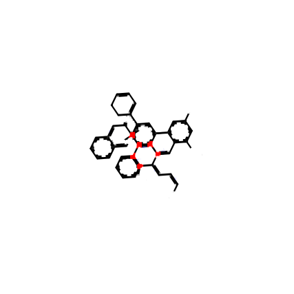 C=C(/C=c1/cccc/c1=C/C)C(C)(C)C(=C/C=C\c1c(C)cc(C)cc1-c1cc(C2=CC=CCC2)ccc1N/C(=C\C=C/C)c1ccccc1)/C(C)=C/C